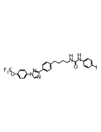 O=C(NCCCCc1ccc(-c2ncn(-c3ccc(OC(F)(F)F)cc3)n2)cc1)Nc1ccc(I)cc1